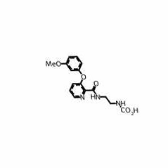 COc1cccc(Oc2cccnc2C(=O)NCCNC(=O)O)c1